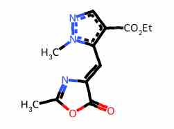 CCOC(=O)c1cnn(C)c1C=C1N=C(C)OC1=O